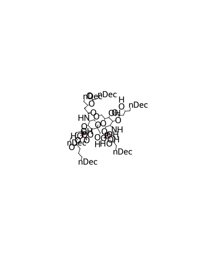 CCCCCCCCCCCCCC(=O)O[C@H](CCCCCCCCCCC)CC(=O)OC1C(NC(=O)C[C@@H](CCCCCCCCCCC)OC(=O)CCCCCCCCCCC)[C@H](OCC2O[C@H](OP(=O)(O)O)C(NC(=O)C[C@H](O)CCCCCCCCCCC)C(OC(=O)C[C@H](O)CCCCCCCCCCC)[C@@H]2O)OC(CO)[C@H]1OP(=O)(O)O